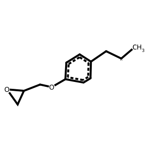 C[C]Cc1ccc(OCC2CO2)cc1